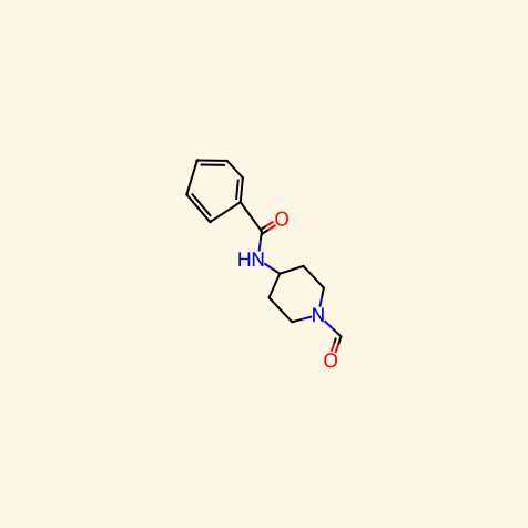 O=CN1CCC(NC(=O)c2ccccc2)CC1